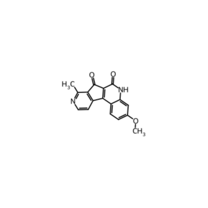 COc1ccc2c3c(c(=O)[nH]c2c1)C(=O)c1c-3ccnc1C